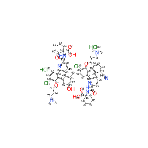 CN(C)CCCOc1cc(-c2nc(C(=O)NC3(C(=O)O)CCCCC3)ccc2-c2ccccc2C#N)ccc1Cl.Cc1cc(O)ccc1-c1ccc(C(=O)NC2(C(=O)O)CCCCC2)nc1-c1ccc(Cl)c(OCCCN(C)C)c1.Cl.Cl